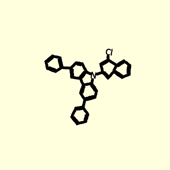 Clc1cc(-n2c3ccc(-c4ccccc4)cc3c3cc(-c4ccccc4)ccc32)cc2ccccc12